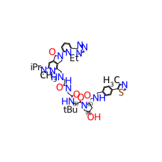 CCn1cnnc1-c1cccc(N2Cc3c(cc(N(C)C(C)C)nc3CNCC(=O)NCC(=O)N[C@H](C(=O)N3C[C@H](O)C[C@H]3C(=O)NCc3ccc(-c4scnc4C)cc3)C(C)(C)C)C2=O)n1